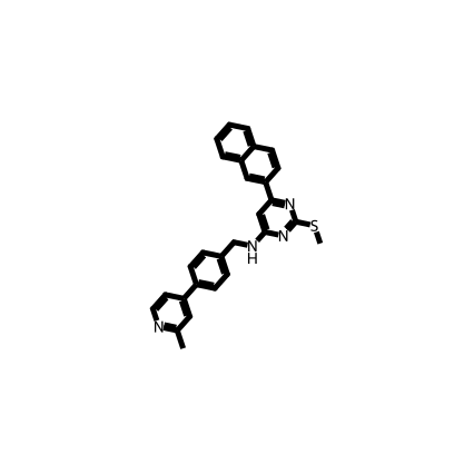 CSc1nc(NCc2ccc(-c3ccnc(C)c3)cc2)cc(-c2ccc3ccccc3c2)n1